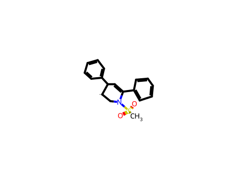 CS(=O)(=O)N1C[CH]C(c2ccccc2)C=C1c1ccccc1